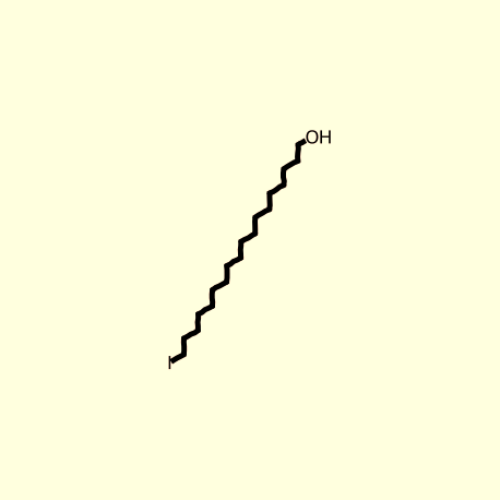 OCCCCCCCCCCCCCCCCCCI